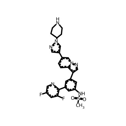 CS(=O)(=O)Nc1cc(-c2ncc(F)cc2F)cc(-c2cnn3cc(-c4cnn(C5CCNCC5)c4)ccc23)c1